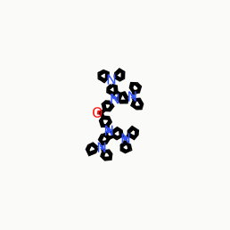 O=C(c1ccc(-n2c3ccc(N(c4ccccc4)c4ccccc4)cc3c3cc(N(c4ccccc4)c4ccccc4)ccc32)cc1)c1ccc(-n2c3ccc(N(c4ccccc4)c4ccccc4)cc3c3cc(N(c4ccccc4)c4ccccc4)ccc32)cc1